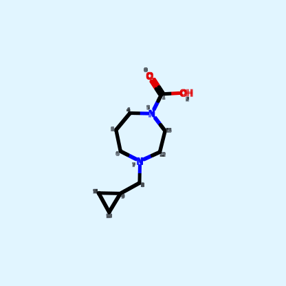 O=C(O)N1CCCN(CC2CC2)CC1